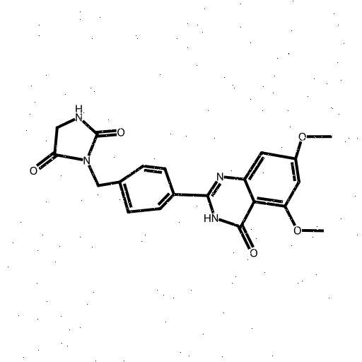 COc1cc(OC)c2c(=O)[nH]c(-c3ccc(CN4C(=O)CNC4=O)cc3)nc2c1